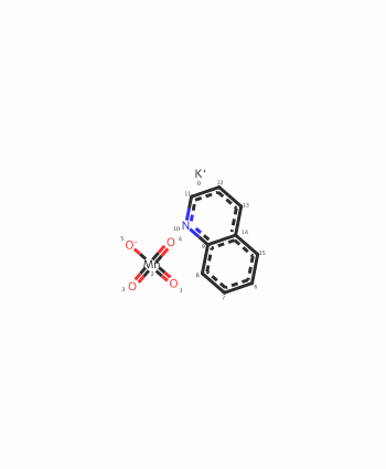 [K+].[O]=[Mn](=[O])(=[O])[O-].c1ccc2ncccc2c1